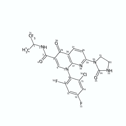 CC(NC(=O)c1cn(-c2c(F)cc(F)cc2Cl)c2nc(N3CCNC3=O)ccc2c1=O)C(F)(F)F